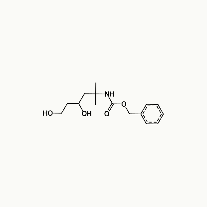 CC(C)(CC(O)CCO)NC(=O)OCc1ccccc1